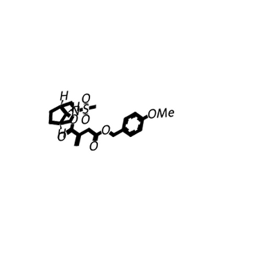 C=C(CC(=O)OCc1ccc(OC)cc1)C(=O)O[C@H]1[C@@H]2CC[C@H]1CN(S(C)(=O)=O)C2